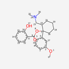 COc1cccc(C2(OC(=O)c3ccccc3O)CCCCC2CN(C)C)c1